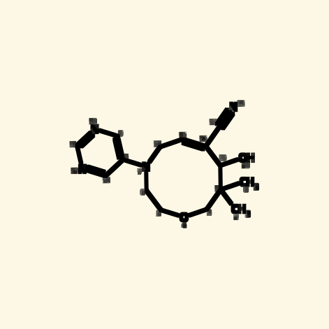 CC1(C)COCCN(c2cncnc2)C/C=C(/C#N)C1O